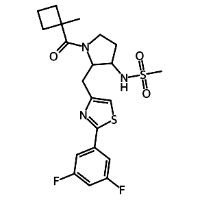 CC1(C(=O)N2CCC(NS(C)(=O)=O)C2Cc2csc(-c3cc(F)cc(F)c3)n2)CCC1